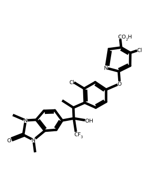 CC(c1ccc(Oc2cc(Cl)c(C(=O)O)cn2)cc1Cl)C(O)(c1ccc2c(c1)n(C)c(=O)n2C)C(F)(F)F